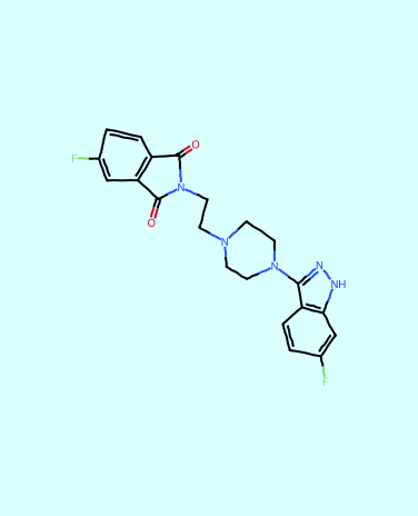 O=C1c2ccc(F)cc2C(=O)N1CCN1CCN(c2n[nH]c3cc(F)ccc23)CC1